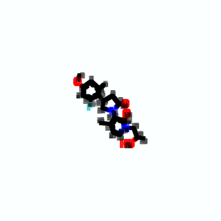 COc1cc(C)c([C@H]2CC(=O)N(c3c(C)ccn(CC(C)O)c3=O)C2)c(F)c1